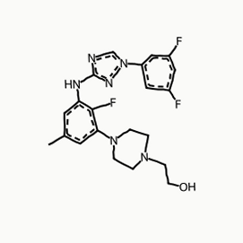 Cc1cc(Nc2ncn(-c3cc(F)cc(F)c3)n2)c(F)c(N2CCN(CCO)CC2)c1